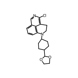 Clc1ncc2cccc3c2c1CCN3C1CCC(C2OCCO2)CC1